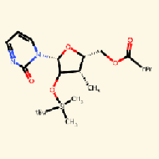 CCCC(=O)OC[C@H]1O[C@@H](n2cccnc2=O)C(O[Si](C)(C)C(C)(C)C)[C@H]1C